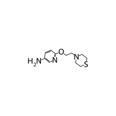 Nc1ccc(OCCN2CCSCC2)nc1